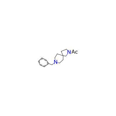 [CH2]C(=O)N1CCC2(CCN(Cc3ccccc3)CC2)C1